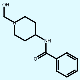 O=C(NC1CCN(CO)CC1)c1ccccc1